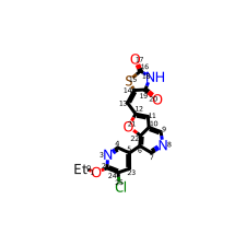 CCOc1ncc(-c2cncc3cc(C=C4SC(=O)NC4=O)oc23)cc1Cl